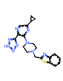 c1ccc2sc(CN3CCN(c4nc(C5CC5)cnc4-c4nn[nH]n4)CC3)nc2c1